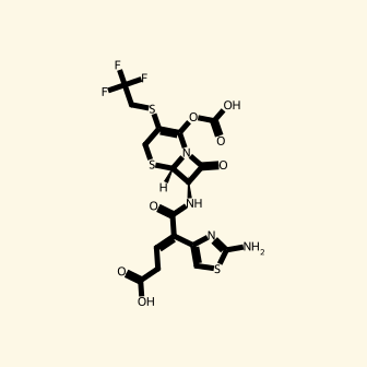 Nc1nc(C(=CCC(=O)O)C(=O)N[C@@H]2C(=O)N3C(OC(=O)O)=C(SCC(F)(F)F)CS[C@@H]23)cs1